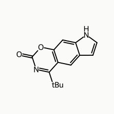 CC(C)(C)c1nc(=O)oc2cc3[nH]ccc3cc12